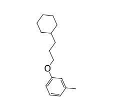 Cc1cccc(OCCCC2CCCCC2)c1